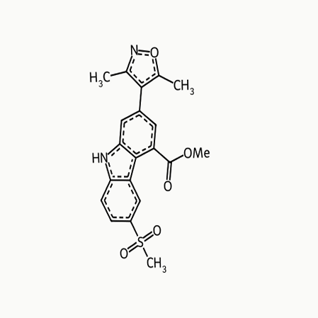 COC(=O)c1cc(-c2c(C)noc2C)cc2[nH]c3ccc(S(C)(=O)=O)cc3c12